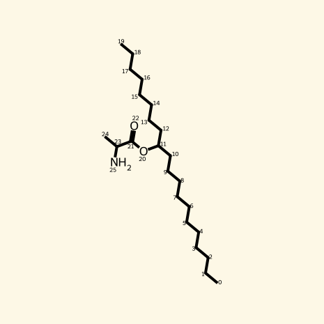 CCCCCCCCCCCC(CCCCCCCC)OC(=O)C(C)N